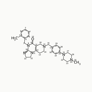 Cc1ccccc1CN1C(=O)C2=C(CCN(Cc3ccc(N4CCN(C)CC4)cc3)C2)N2CCN=C12